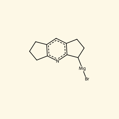 [Br][Mg][CH]1CCc2cc3c(nc21)CCC3